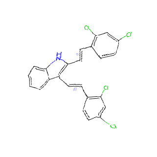 Clc1ccc(/C=C/c2[nH]c3ccccc3c2/C=C/c2ccc(Cl)cc2Cl)c(Cl)c1